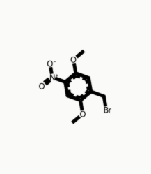 COc1cc([N+](=O)[O-])c(OC)cc1CBr